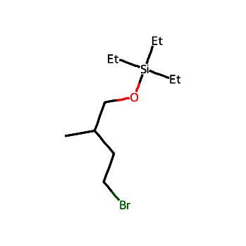 CC[Si](CC)(CC)OCC(C)CCBr